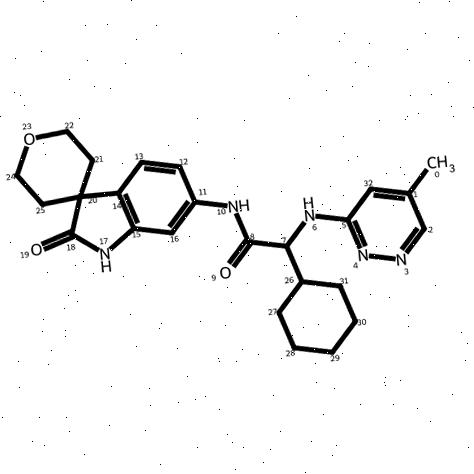 Cc1cnnc(NC(C(=O)Nc2ccc3c(c2)NC(=O)C32CCOCC2)C2CCCCC2)c1